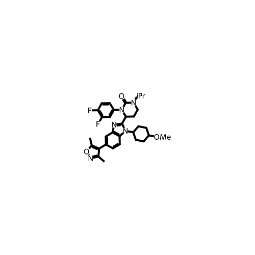 COC1CCC(n2c(C3CCN(C(C)C)C(=O)N3c3ccc(F)c(F)c3)nc3cc(-c4c(C)noc4C)ccc32)CC1